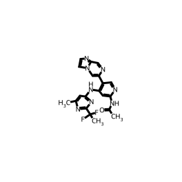 CC(=O)Nc1cc(Nc2cc(C)nc(C(C)(F)F)n2)c(-c2cn3ccnc3cn2)cn1